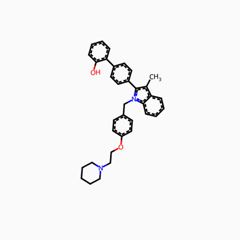 Cc1c(-c2ccc(-c3ccccc3O)cc2)n(Cc2ccc(OCCN3CCCCC3)cc2)c2ccccc12